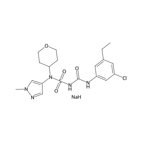 CCc1cc(Cl)cc(NC(=O)NS(=O)(=O)N(c2cnn(C)c2)C2CCOCC2)c1.[NaH]